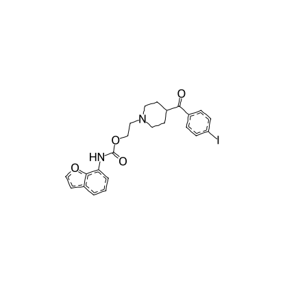 O=C(Nc1cccc2ccoc12)OCCN1CCC(C(=O)c2ccc(I)cc2)CC1